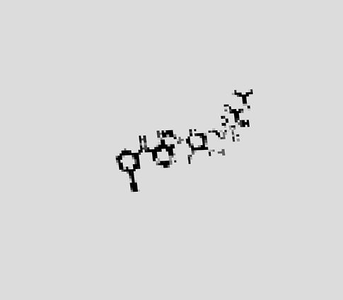 C#Cc1cccc(Nc2ncnc3c2ncn3[C@@H]2O[C@H](COS(=O)(=O)NC(=O)OC(C)C)[C@@H](O)[C@@H]2F)c1